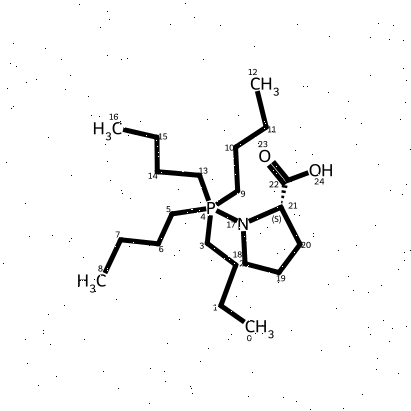 CCCCP(CCCC)(CCCC)(CCCC)N1CCC[C@H]1C(=O)O